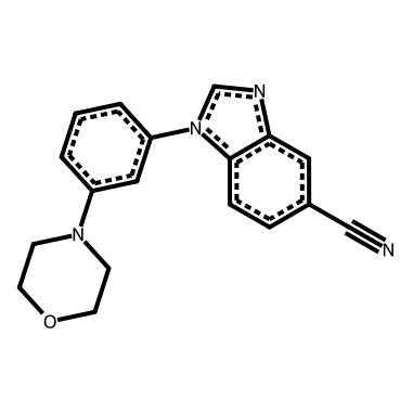 N#Cc1ccc2c(c1)ncn2-c1cccc(N2CCOCC2)c1